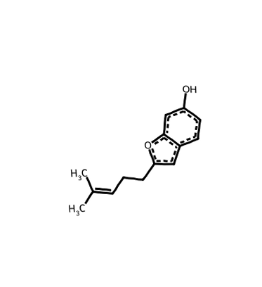 CC(C)=CCCc1cc2ccc(O)cc2o1